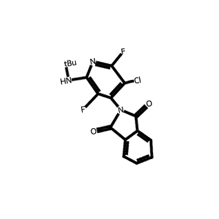 CC(C)(C)Nc1nc(F)c(Cl)c(N2C(=O)c3ccccc3C2=O)c1F